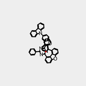 c1ccc(-c2nc(-c3ccccc3)nc(-c3cccc4oc5cccc(-c6cccc7c6oc6ccc(-n8c9ccccc9c9ccccc98)cc67)c5c34)n2)cc1